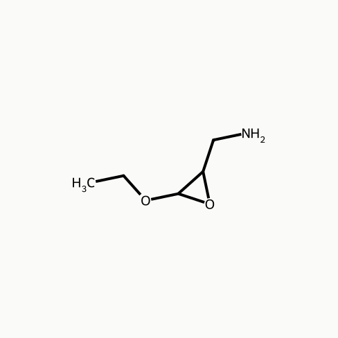 CCOC1OC1CN